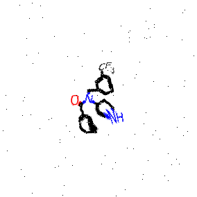 O=C(c1ccccc1)N(Cc1cccc(C(F)(F)F)c1)C1CCNC1